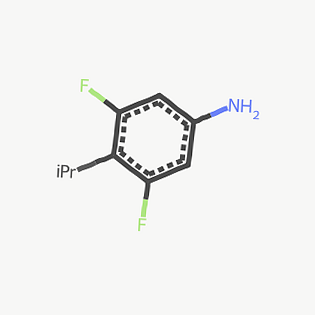 CC(C)c1c(F)cc(N)cc1F